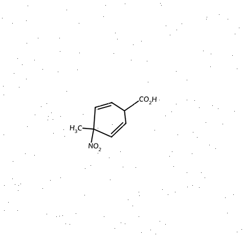 CC1([N+](=O)[O-])C=CC(C(=O)O)C=C1